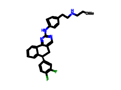 COCCNCCc1ccc(Nc2ncc3c(n2)-c2ccccc2[C@H](c2ccc(F)c(F)c2)C3)cc1